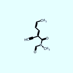 C#C/C(=C\C=C/C)C(=O)N(C)C=O